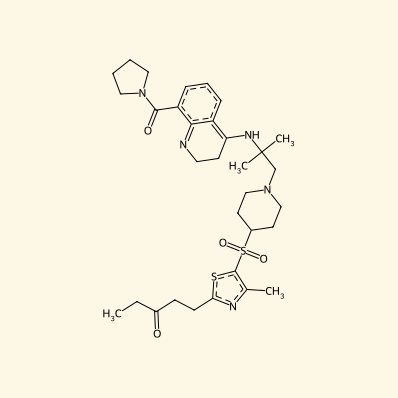 CCC(=O)CCc1nc(C)c(S(=O)(=O)C2CCN(CC(C)(C)NC3=c4cccc(C(=O)N5CCCC5)c4=NCC3)CC2)s1